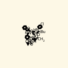 C=C[C@@H]1C[C@]1(NC(=O)[C@@H]1C[C@@H](Oc2nc(-c3ccc(C(F)(F)F)cc3)nc3c2oc2ccccc23)CN1C(=O)[C@@H](Nc1ccc(Cl)cc1)C(C)(C)C)C(=O)NS(=O)(=O)C1CC1